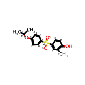 Cc1cc(S(=O)(=O)c2ccc(OC(C)C)cc2)ccc1O